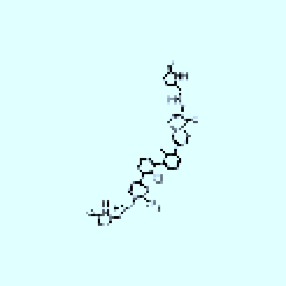 Cc1c(-c2ccn3c(=O)c(CNCC4CCC(=O)N4)cnc3c2)cccc1-c1cccc(-c2ccc(CNCC3CCC(=O)N3)c(C(F)(F)F)n2)c1Cl